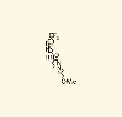 COCCC1CCN(c2ncc(NC(=O)c3cnn(-c4ccc(C(F)(F)F)cn4)c3C)cc2C)CC1